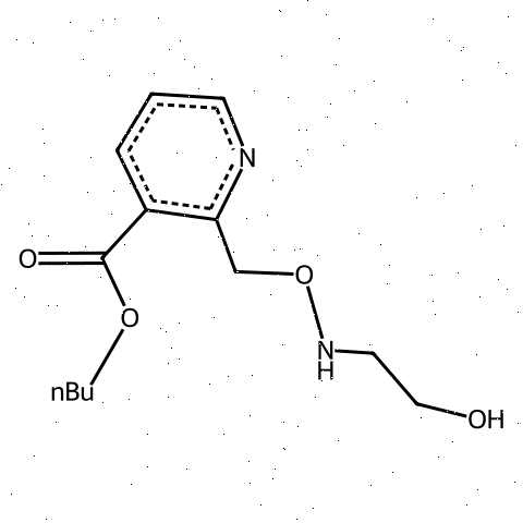 CCCCOC(=O)c1cccnc1CONCCO